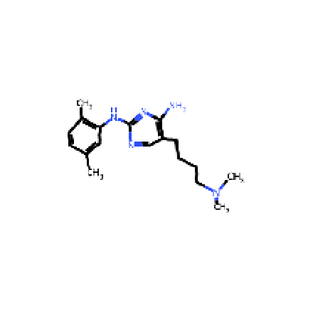 Cc1ccc(C)c(Nc2ncc(CCCCN(C)C)c(N)n2)c1